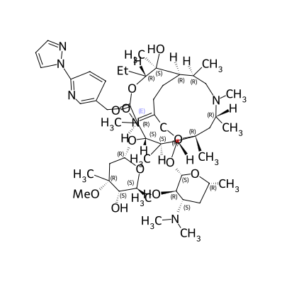 CC[C@H]1OC(=O)[C@H](C)[C@@H](O[C@H]2C[C@@](C)(OC)[C@@H](O)[C@H](C)O2)[C@H](C)[C@@H](O[C@@H]2O[C@H](C)C[C@H](N(C)C)[C@H]2O)[C@@]2(C)C[C@@H](C)N(C)C[C@H](C)[C@@H](CC/C(=N\OCc3ccc(-n4cccn4)nc3)CO2)[C@]1(C)O